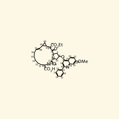 CCOC(=O)N1C(=O)C2CC(Oc3cc(-c4ccccc4)nc4cc(OC)ccc34)CN2C(=O)NC(C(=O)O)CCCCC/C=C/C2CC21